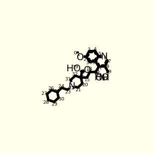 COc1ccc2ncc(CO)c([C@@H](O)CCC3(C(=O)O)CCN(CCC4CCCCC4)CC3)c2c1